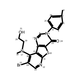 Cc1ccc(-n2cnc3c(sc4ncc(Br)c(N(C)CCO)c43)c2=O)cc1